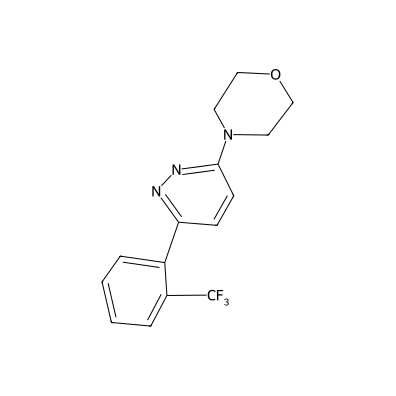 FC(F)(F)c1ccccc1-c1ccc(N2CCOCC2)nn1